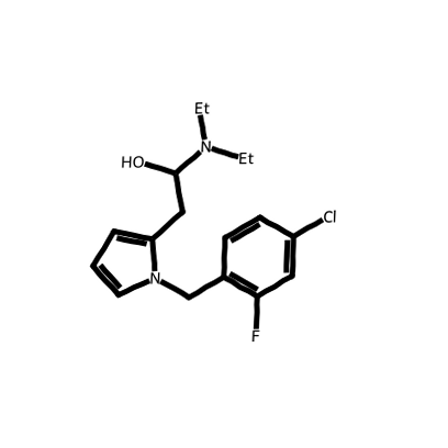 CCN(CC)C(O)Cc1cccn1Cc1ccc(Cl)cc1F